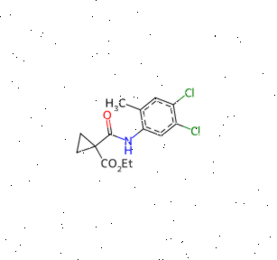 CCOC(=O)C1(C(=O)Nc2cc(Cl)c(Cl)cc2C)CC1